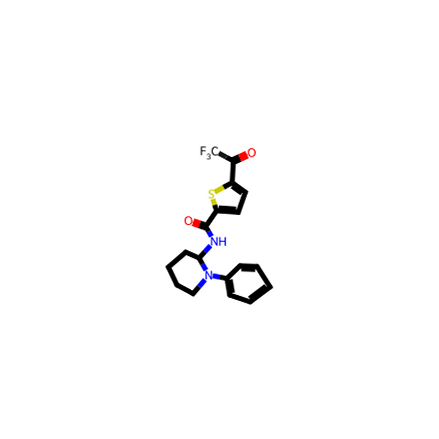 O=C(NC1CCCCN1c1ccccc1)c1ccc(C(=O)C(F)(F)F)s1